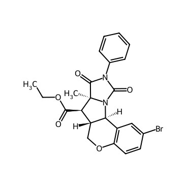 CCOC(=O)[C@@H]1[C@H]2COc3ccc(Br)cc3[C@@H]2N2C(=O)N(c3ccccc3)C(=O)[C@]12C